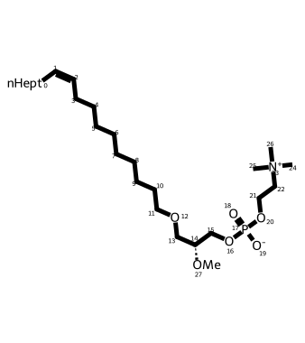 CCCCCCC/C=C\CCCCCCCCCOC[C@H](COP(=O)([O-])OCC[N+](C)(C)C)OC